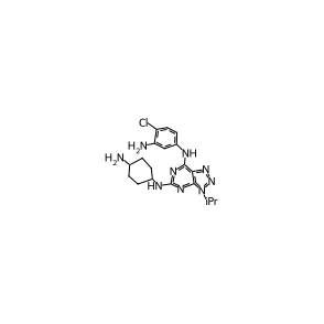 CC(C)n1nnc2c(Nc3ccc(Cl)c(N)c3)nc(NC3CCC(N)CC3)nc21